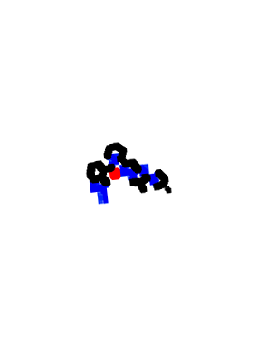 Cc1cn2nc([C@@H]3CCCCN3C(=O)c3cccc4n[nH]cc34)cc2nc1N1CC[C@H](C)C1